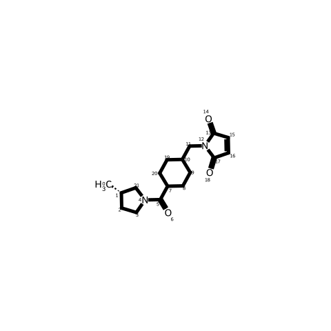 C[C@H]1CCN(C(=O)C2CCC(CN3C(=O)C=CC3=O)CC2)C1